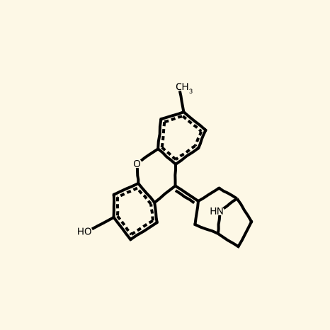 Cc1ccc2c(c1)Oc1cc(O)ccc1C2=C1CC2CCC(C1)N2